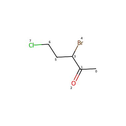 CC(=O)C(Br)CCCl